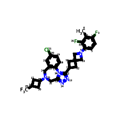 Cc1c(F)ccc(N2CC3(CC(c4nnc5n4-c4ccc(Cl)cc4CN(C4CC(C(F)(F)F)C4)C5)C3)C2)c1F